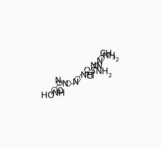 CC1(N)CCN(c2cnc(Sc3cccc(NCC4CCN(CC5CCN(c6cncc(C7CCC(O)NC7=O)c6)CC5)CC4)c3Cl)c(N)n2)CC1